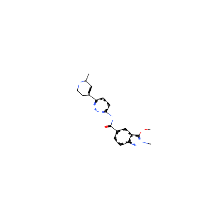 CCOc1c2cc(C(=O)Nc3ccc(C4=CC(C)NCC4)nn3)ccc2nn1C